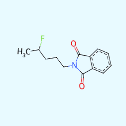 CC(F)CCCN1C(=O)c2ccccc2C1=O